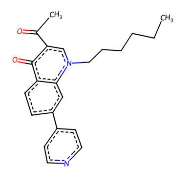 CCCCCCn1cc(C(C)=O)c(=O)c2ccc(-c3ccncc3)cc21